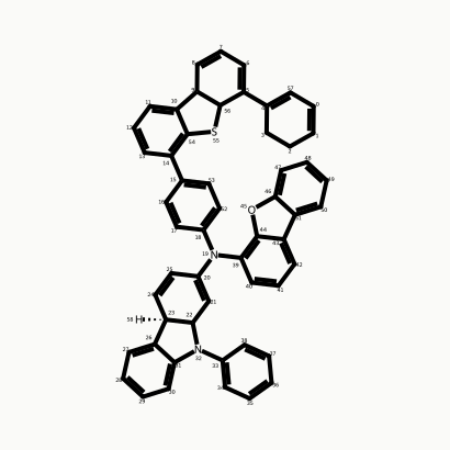 C1=CCCC(C2=CC=CC3c4cccc(-c5ccc(N(C6=CC7[C@H](C=C6)c6ccccc6N7c6ccccc6)c6cccc7c6oc6ccccc67)cc5)c4SC23)=C1